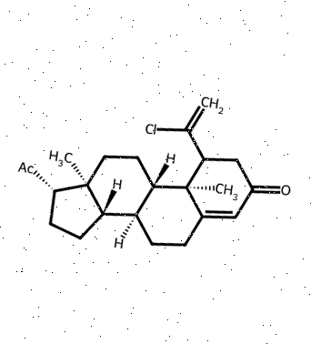 C=C(Cl)C1CC(=O)C=C2CC[C@H]3[C@@H]4CC[C@H](C(C)=O)[C@@]4(C)CC[C@@H]3[C@]21C